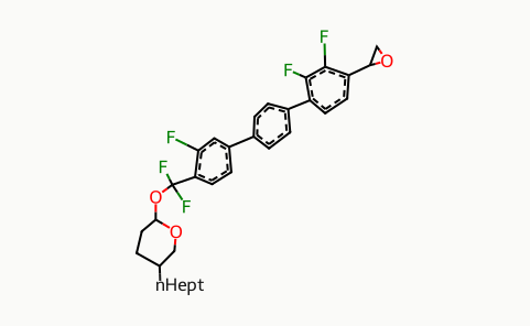 CCCCCCCC1CCC(OC(F)(F)c2ccc(-c3ccc(-c4ccc(C5CO5)c(F)c4F)cc3)cc2F)OC1